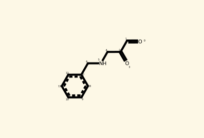 O=CC(=O)CNCc1ccccc1